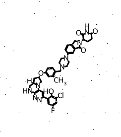 Cc1cc(O[C@@H]2C[C@@H]3CNc4nnc(-c5cc(F)cc(Cl)c5O)cc4N3C2)ccc1CN1CCN(c2ccc3c(c2)C(=O)N(C2CCC(=O)NC2=O)C3)CC1